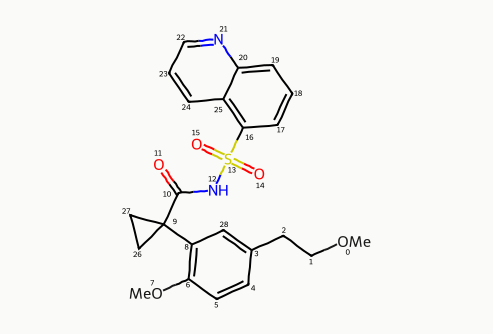 COCCc1ccc(OC)c(C2(C(=O)NS(=O)(=O)c3cccc4ncccc34)CC2)c1